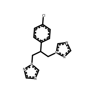 Clc1ccc(C(Cn2cncn2)Cn2cncn2)cc1